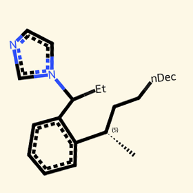 CCCCCCCCCCCC[C@H](C)c1ccccc1C(CC)n1ccnc1